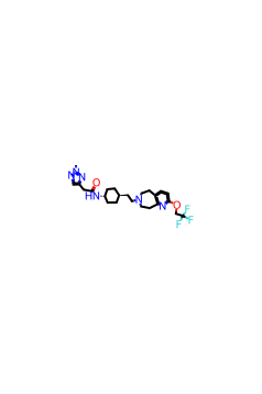 Cn1ncc(CC(=O)N[C@H]2CC[C@H](CCN3CCc4ccc(OCC(F)(F)F)nc4CC3)CC2)n1